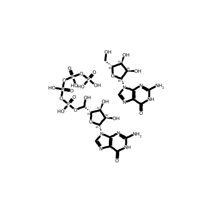 Nc1nc2c(ncn2[C@@H]2O[C@H](C(O)OP(=O)(O)OP(=O)(O)OP(=O)(O)OP(=O)(O)O)[C@@H](O)[C@H]2O)c(=O)[nH]1.Nc1nc2c(ncn2[C@@H]2O[C@H](CO)[C@@H](O)[C@H]2O)c(=O)[nH]1